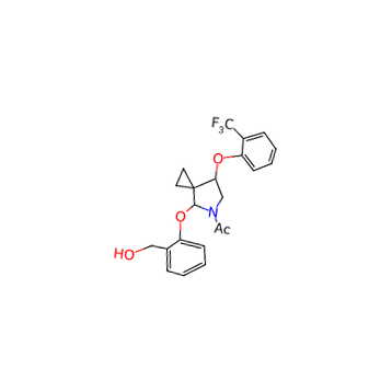 CC(=O)N1CC(Oc2ccccc2C(F)(F)F)C2(CC2)C1Oc1ccccc1CO